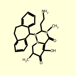 CC1CN2C(=C(O)C1=O)C(=O)N(C)C(CCN)N2C1c2ccccc2CCc2ccccc21